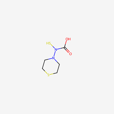 O=C(O)N(S)N1CCSCC1